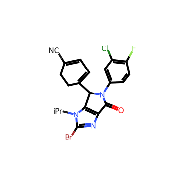 CC(C)n1c(Br)nc2c1C(C1=CC=C(C#N)CC1)N(c1ccc(F)c(Cl)c1)C2=O